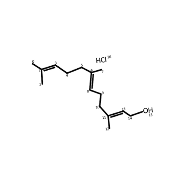 CC(C)=CCCC(C)=CCCC(C)=CCO.Cl